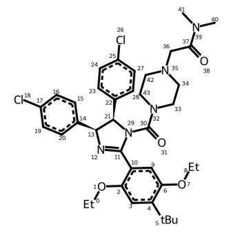 CCOc1cc(C(C)(C)C)c(OCC)cc1C1=N[C@@H](c2ccc(Cl)cc2)[C@@H](c2ccc(Cl)cc2)N1C(=O)N1CCN(CC(=O)N(C)C)CC1